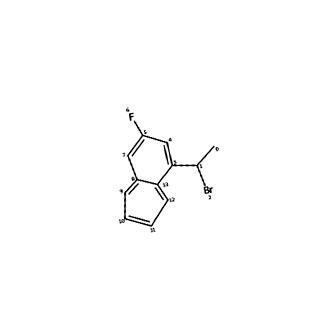 CC(Br)c1cc(F)cc2ccccc12